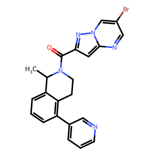 CC1c2cccc(-c3cccnc3)c2CCN1C(=O)c1cc2ncc(Br)cn2n1